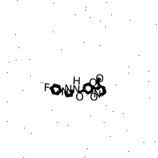 O=C1OC2(CCC(C(=O)Nc3ccn(-c4ccc(F)cc4)n3)CC2)c2c1ccc[n+]2[O-]